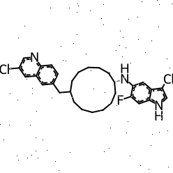 Fc1cc2[nH]cc(Cl)c2cc1N[C@@H]1CCCCCCC(Cc2ccc3ncc(Cl)cc3c2)CCCCC1